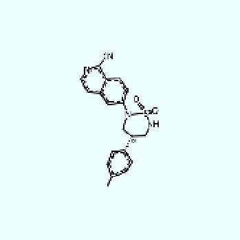 Cc1ccc([C@H]2CNS(=O)(=O)N(c3ccc4c(C#N)nccc4c3)C2)cc1